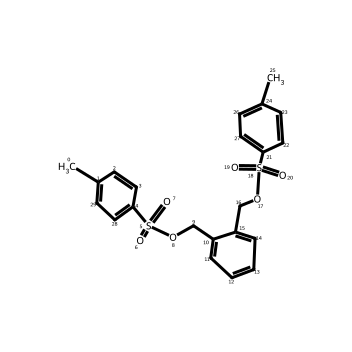 Cc1ccc(S(=O)(=O)OCc2ccccc2COS(=O)(=O)c2ccc(C)cc2)cc1